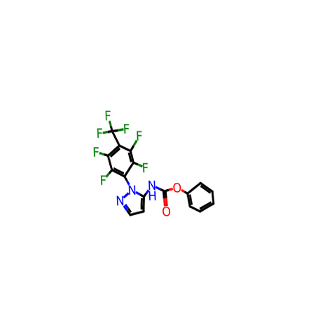 O=C(Nc1ccnn1-c1c(F)c(F)c(C(F)(F)F)c(F)c1F)Oc1ccccc1